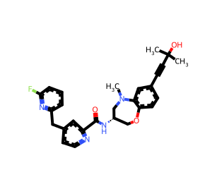 CN1C[C@@H](NC(=O)c2cc(Cc3cccc(F)n3)ccn2)COc2ccc(C#CC(C)(C)O)cc21